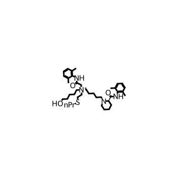 CCCSCC[N+](CCCCCO)(CCCCCN1CCCC[C@@H]1C(=O)Nc1c(C)cccc1C)CC(=O)Nc1c(C)cccc1C